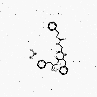 O=C(CNC(=O)OCc1ccccc1)NC(Cc1ccccc1)C(=O)NC(Cc1ccccc1)C(=O)O.OBO